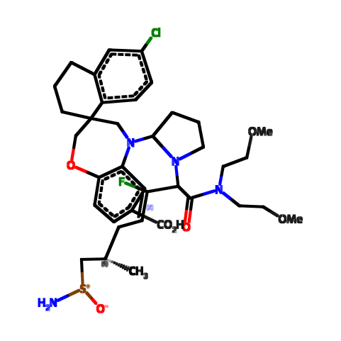 COCCN(CCOC)C(=O)C(/C(F)=C/C[C@H](C)C[S+](N)[O-])N1CCCC1N1CC2(CCCc3cc(Cl)ccc32)COc2ccc(C(=O)O)cc21